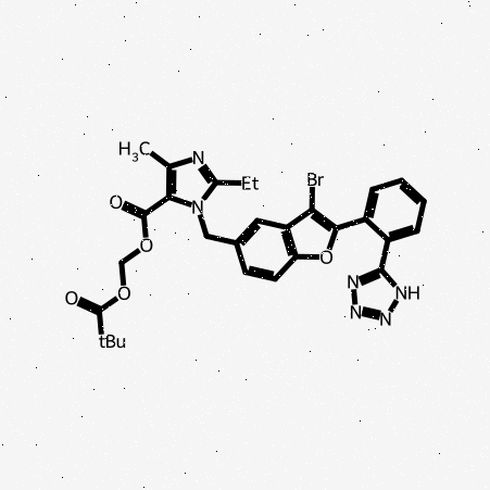 CCc1nc(C)c(C(=O)OCOC(=O)C(C)(C)C)n1Cc1ccc2oc(-c3ccccc3-c3nnn[nH]3)c(Br)c2c1